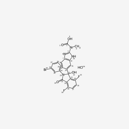 CN(C(=O)O)c1nc2ccc(C3(O)c4c(F)ccc(F)c4C(=O)N3c3cccc(Br)c3)cc2[nH]1.Cl